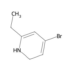 CCC1=CC(Br)=CCN1